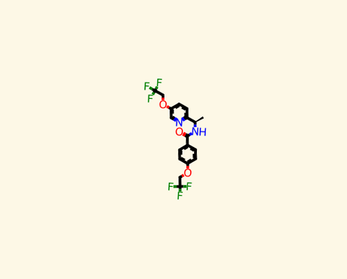 C[C@@H](NC(=O)c1ccc(OCC(F)(F)F)cc1)c1ccc(OCC(F)(F)F)cn1